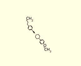 C=CCCc1ccc(C#C[C@H]2CC[C@H](c3ccc(OCC)cc3)CC2)cc1